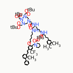 Cc1ccc(CCCC(=O)NCCCC[C@H](NC(=O)CN2CCN(CC(=O)OC(C)(C)C)CN(CC(=O)OC(C)(C)C)CN(CC(=O)OC(C)(C)C)CC2)C(=O)NCCCCCCOc2cc(/C=C/c3cccc(-c4ccccc4)c3C)c(C(F)(F)F)cc2CN2CCCC[C@H]2C(=O)OC(C)(C)C)cc1C